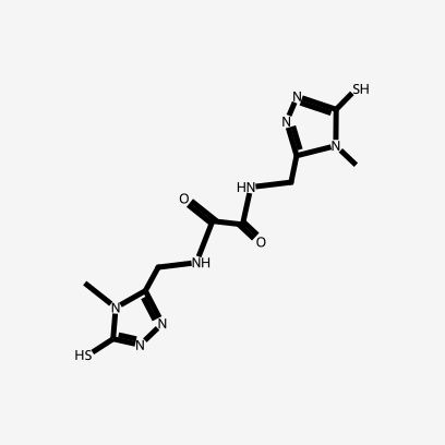 Cn1c(S)nnc1CNC(=O)C(=O)NCc1nnc(S)n1C